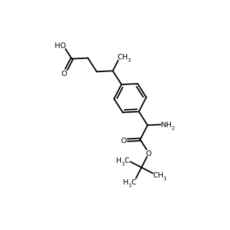 CC(CCC(=O)O)c1ccc(C(N)C(=O)OC(C)(C)C)cc1